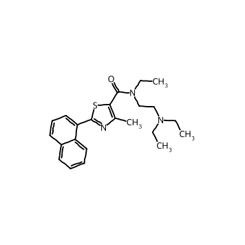 CCN(CC)CCN(CC)C(=O)c1sc(-c2cccc3ccccc23)nc1C